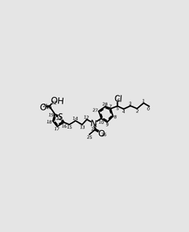 CCCCCC(Cl)c1ccc(N(CCCCc2ccc(C(=O)O)s2)C(C)=O)cc1